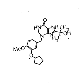 COc1ccc(CN2CNC(=O)c3[nH]c(C(C)(C)O)nc32)cc1OC1CCCC1